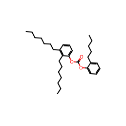 CCCCCCCc1cccc(OC(=O)Oc2ccccc2CCCCC)c1CCCCCCC